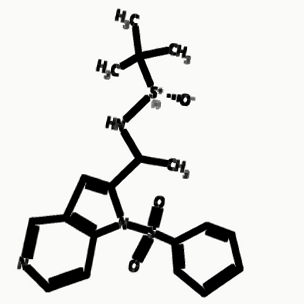 CC(N[S@@+]([O-])C(C)(C)C)c1cc2cnccc2n1S(=O)(=O)c1ccccc1